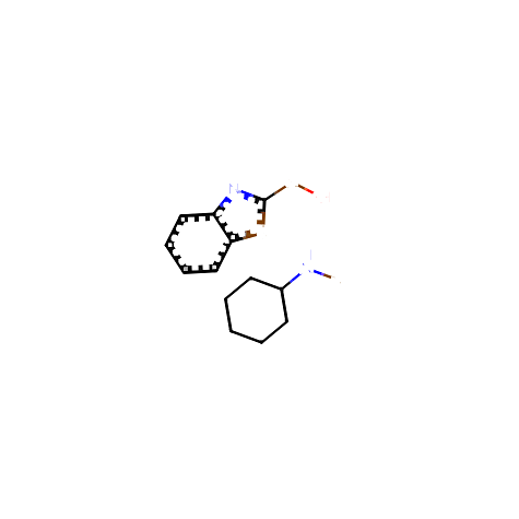 OSc1nc2ccccc2s1.SNC1CCCCC1